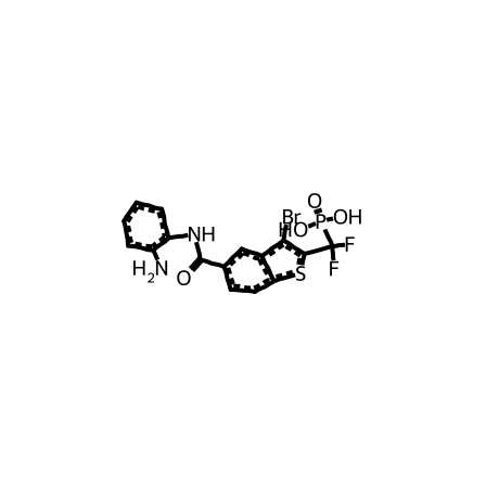 Nc1ccccc1NC(=O)c1ccc2sc(C(F)(F)P(=O)(O)O)c(Br)c2c1